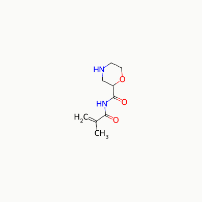 C=C(C)C(=O)NC(=O)C1CNCCO1